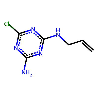 C=CCNc1nc(N)nc(Cl)n1